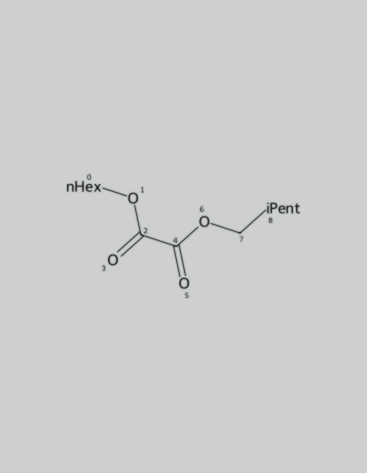 CCCCCCOC(=O)C(=O)OCC(C)CCC